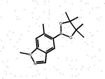 Cc1cc2c(cnn2C)cc1B1OC(C)(C)C(C)(C)O1